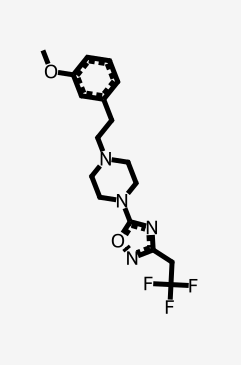 COc1cccc(CCN2CCN(c3nc(CC(F)(F)F)no3)CC2)c1